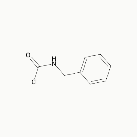 O=C(Cl)NCc1ccccc1